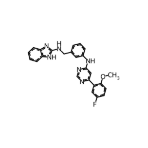 COc1ccc(F)cc1-c1cc(Nc2cccc(CNc3nc4ccccc4[nH]3)c2)ncn1